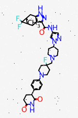 CC12Cc3[nH]nc(C(=O)Nc4cnn(C5CCN(CC6(F)CCN(c7ccc(C8CCC(=O)NC8=O)cc7)CC6)CC5)c4)c3CC1C2(F)F